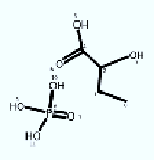 CCC(O)C(=O)O.O=P(O)(O)O